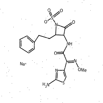 CON=C(C(=O)NC1C(=O)N(S(=O)(=O)[O-])C1CCc1ccccc1)c1csc(N)n1.[Na+]